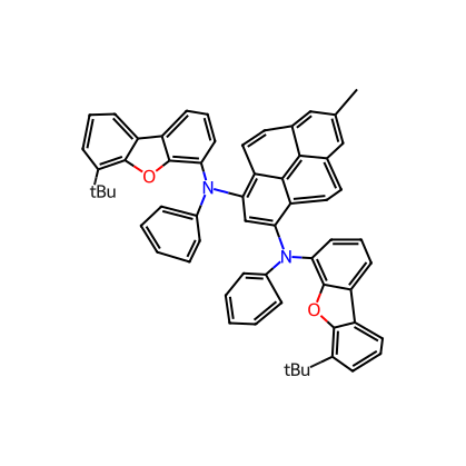 Cc1cc2ccc3c(N(c4ccccc4)c4cccc5c4oc4c(C(C)(C)C)cccc45)cc(N(c4ccccc4)c4cccc5c4oc4c(C(C)(C)C)cccc45)c4ccc(c1)c2c34